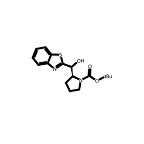 CC(C)(C)OC(=O)N1CCC[C@H]1C(O)c1nc2ccccc2s1